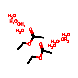 CCOC(C)=O.CCOC(C)=O.O.O.O.O.O.O.O.O